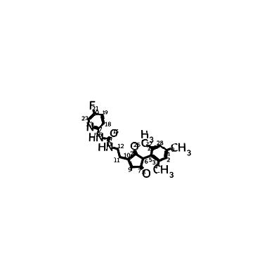 Cc1cc(C)c(C2C(=O)CC(CCNC(=O)Nc3ccc(F)cn3)C2=O)c(C)c1